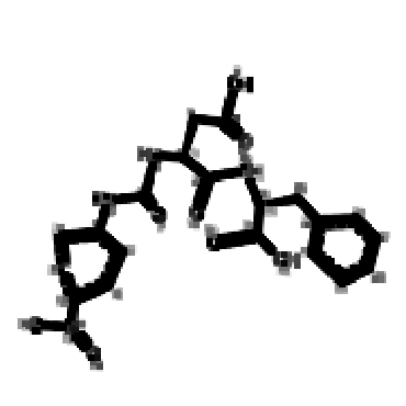 O=C(O)C[C@H](NC(=O)Nc1ccc([N+](=O)[O-])cc1)C(=O)N[C@@H](Cc1ccccc1)C(=O)O